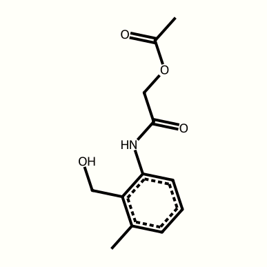 CC(=O)OCC(=O)Nc1cccc(C)c1CO